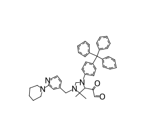 CC1(C)C(C(=O)C=O)N(c2ccc(C(c3ccccc3)(c3ccccc3)c3ccccc3)cc2)CN1Cc1ccnc(N2CCCCC2)c1